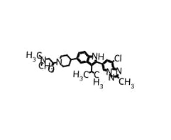 Cc1nc2c(Cl)cc(-c3[nH]c4ccc(C5CCN(C(=O)CN(C)C)CC5)cc4c3C(C)C)cn2n1